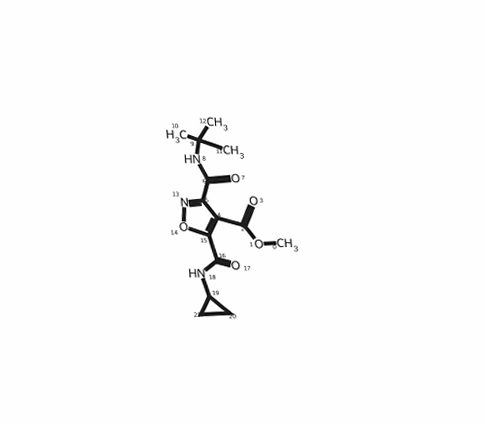 COC(=O)c1c(C(=O)NC(C)(C)C)noc1C(=O)NC1CC1